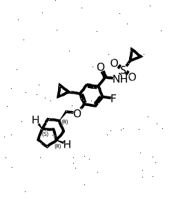 O=C(NS(=O)(=O)C1CC1)c1cc(C2CC2)c(OC[C@H]2C[C@@H]3CC[C@@H](C3)C2)cc1F